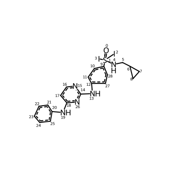 O=S(I)(I)(NCC1CC1)c1ccc(Nc2nccc(Nc3ccccc3)n2)cc1